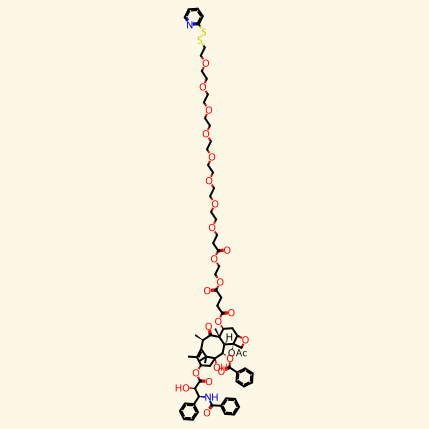 CC(=O)O[C@@]12COC1C[C@H](OC(=O)CCC(=O)OCCOC(=O)CCOCCOCCOCCOCCOCCOCCOCCOCCSSc1ccccn1)[C@@]1(C)C(=O)[C@H](C)C3=C(C)C(OC(=O)[C@H](O)[C@@H](NC(=O)c4ccccc4)c4ccccc4)C[C@@](O)([C@@H](OC(=O)c4ccccc4)[C@@H]12)C3(C)C